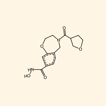 O=C(NO)c1ccc2c(c1)OCCN(C(=O)C1CCOC1)C2